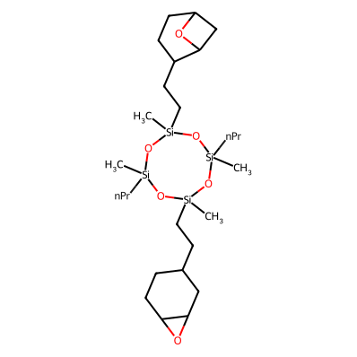 CCC[Si]1(C)O[Si](C)(CCC2CCC3OC3C2)O[Si](C)(CCC)O[Si](C)(CCC2CCC3CC2O3)O1